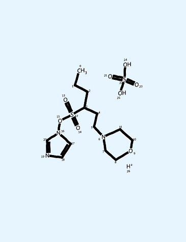 CCCC(CCN1CCOCC1)S(=O)(=O)On1ccnc1.O=S(=O)(O)O.[H+]